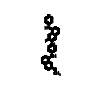 COc1ccc2cccc(Nc3cc[n+](-c4cc5cccc(Nc6ccncc6)c5cc4I)cc3)c2c1